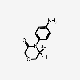 [2H]C1([2H])COCC(=O)N1c1ccc(N)cc1